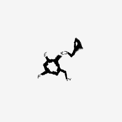 CC(C)Cc1cc(F)cc(F)c1OCC1CC1